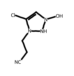 N#CCCN1NN(O)C=C1Cl